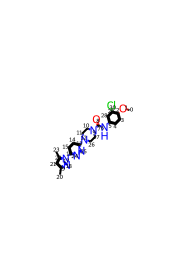 COc1ccc(NC(=O)N2CCN(c3ccc(-n4nc(C)cc4C)nn3)CC2)cc1Cl